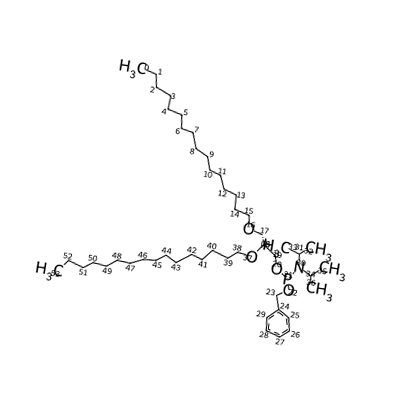 CCCCCCCCCCCCCCCCOC[C@H](COP(OCc1ccccc1)N(C(C)C)C(C)C)OCCCCCCCCCCCCCCCC